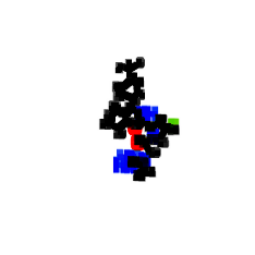 CC(C)c1ccc([C@@H](NC(=O)[C@@H]2C[C@@H](F)CN2C(=O)CN2C=CNN2)c2ccccc2)cc1